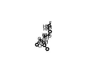 O=C(CNC(=O)c1cccc(NC2=NCC(F)CN2)c1)NC[C@H](NC(=O)c1c(Cl)cc(-c2ccccc2)cc1Cl)C(=O)OCc1ccccc1